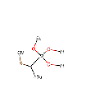 CCCCC(SC#N)[Si](OCC)(OCC)OCC